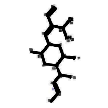 C=CC(=CC1CC(F)[C@@H](C(F)/C=C/C)CC1C)C(N)CC